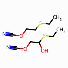 CCSC(O)COC#N.CCSCCOC#N